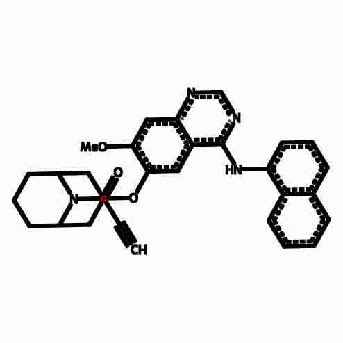 C#CC(=O)N1C2CCCC1CC(Oc1cc3c(Nc4cccc5ccccc45)ncnc3cc1OC)C2